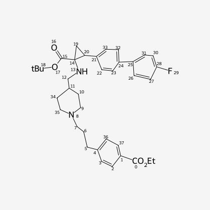 CCOC(=O)c1ccc(CCCN2CCC(CNC3(C(=O)OC(C)(C)C)CC3c3ccc(-c4ccc(F)cc4)cc3)CC2)cc1